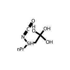 CCC[SiH](CC(O)(O)O)N=C=O